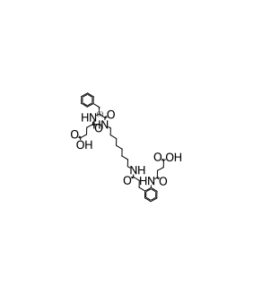 O=C(O)CCC(=O)Nc1ccccc1CCC(=O)NCCCCCCCCNC(=O)[C@H](Cc1ccccc1)NC(=O)CCC(=O)O